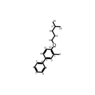 Cc1cc(-c2cc[c]cc2)ccc1OCCCC(C)C